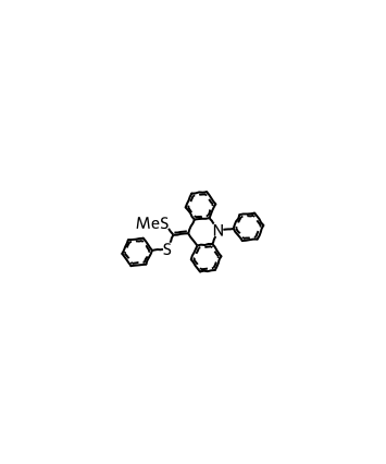 CSC(Sc1ccccc1)=C1c2ccccc2N(c2ccccc2)c2ccccc21